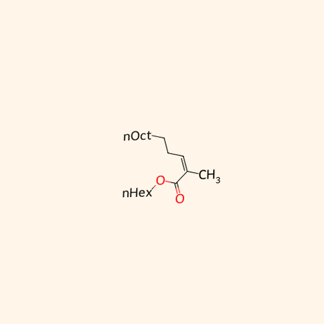 CCCCCCCCCCC=C(C)C(=O)OCCCCCC